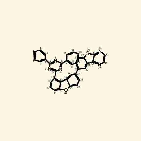 c1ccc(-c2nc(-c3ccccc3)nc(-c3cccc4oc5ccc(-c6ccc7sc8nccnc8c7c6)cc5c34)n2)cc1